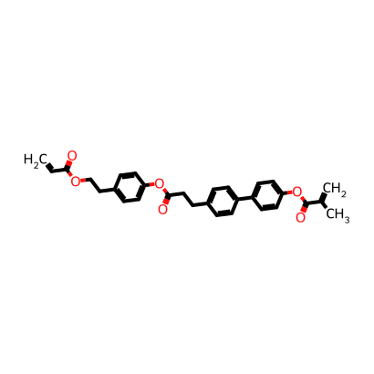 C=CC(=O)OCCc1ccc(OC(=O)CCc2ccc(-c3ccc(OC(=O)C(=C)C)cc3)cc2)cc1